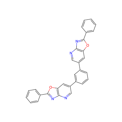 c1ccc(-c2nc3ncc(-c4cccc(-c5cnc6nc(-c7ccccc7)oc6c5)c4)cc3o2)cc1